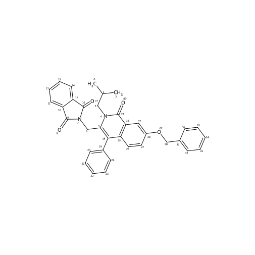 CC(C)Cn1c(CN2C(=O)c3ccccc3C2=O)c(-c2ccccc2)c2ccc(OCc3ccccc3)cc2c1=O